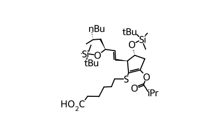 CCCC[C@@H](C)C[C@@H](/C=C/[C@@H]1C(SCCCCCC(=O)O)=C(OC(=O)C(C)C)C[C@H]1O[Si](C)(C)C(C)(C)C)O[Si](C)(C)C(C)(C)C